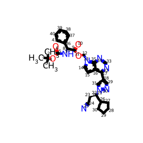 CC(C)(C)OC(=O)N[C@H](C(=O)OCn1ccc2c(-c3cnn([C@H](CC#N)C4CCCC4)c3)ncnc21)c1ccccc1